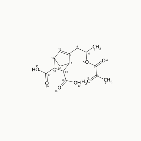 C=C(C)C(=O)OC(C)CC1=CC2CC1C(C(=O)O)C2C(=O)O